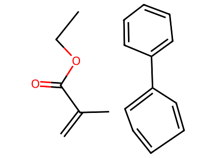 C=C(C)C(=O)OCC.c1ccc(-c2ccccc2)cc1